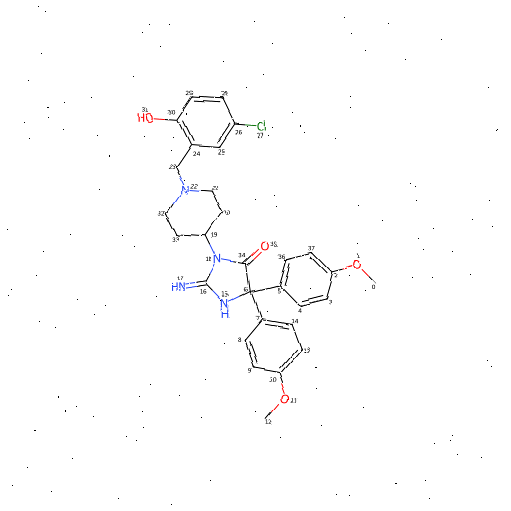 COc1ccc(C2(c3ccc(OC)cc3)NC(=N)N(C3CCN(Cc4cc(Cl)ccc4O)CC3)C2=O)cc1